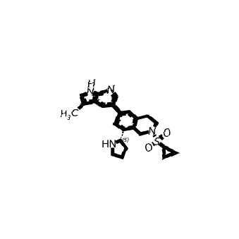 Cc1c[nH]c2ncc(-c3cc4c(c([C@@H]5CCCN5)c3)CN(S(=O)(=O)C3CC3)CC4)cc12